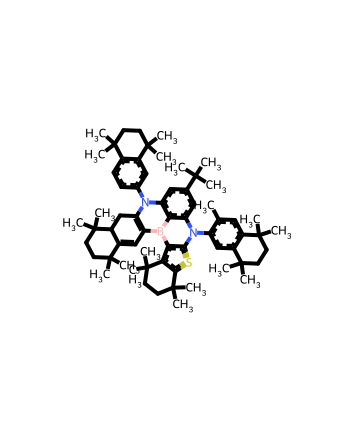 Cc1cc2c(cc1N1c3cc(C(C)(C)C)cc4c3B(C3=C(CC5C(=C3)C(C)(C)CCC5(C)C)N4c3ccc4c(c3)C(C)(C)CCC4(C)C)c3c1sc1c3C(C)(C)CCC1(C)C)C(C)(C)CCC2(C)C